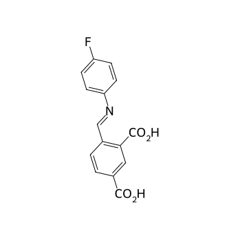 O=C(O)c1ccc(C=Nc2ccc(F)cc2)c(C(=O)O)c1